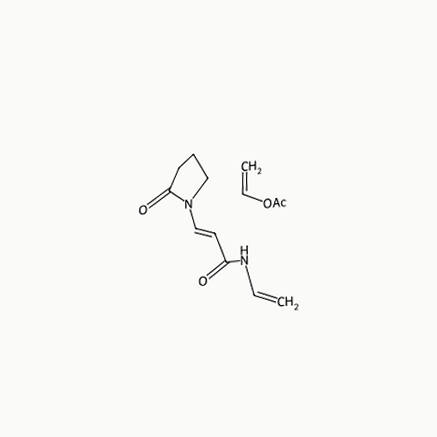 C=CNC(=O)C=CN1CCCC1=O.C=COC(C)=O